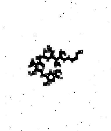 C=C(CC/C=C\CCl)C(C)/C(=C/N)S[C@H](CC)NC(=O)C1(/C(C)=C/CC2OC(C)(F)O[C@@H]2CC)CC1